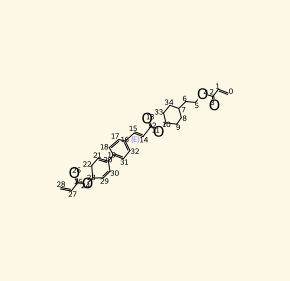 C=CC(=O)OCCC1CCC(OC(=O)/C=C/c2ccc(C3=CCC(OC(=O)C=C)C=C3)cc2)CC1